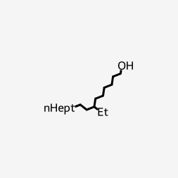 CCCCCCCCCC(CC)CCCCCCO